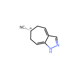 N#C[C@@H]1CC=c2cn[nH]c2=CC1